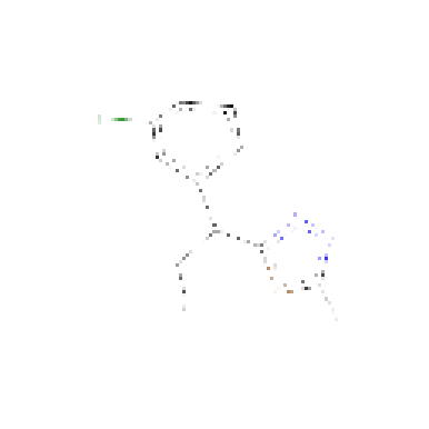 Cc1nnc(C(CC(=O)O)c2cccc(Br)c2)s1